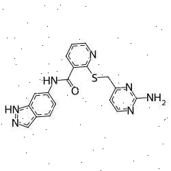 Nc1nccc(CSc2ncccc2C(=O)Nc2ccc3cn[nH]c3c2)n1